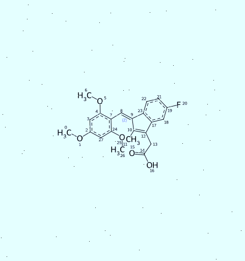 COc1cc(OC)c(/C=C2\C(C)=C(CC(=O)O)c3cc(F)ccc32)c(OC)c1